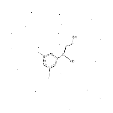 CCCN(CCO)c1cc(C)cc(C)c1